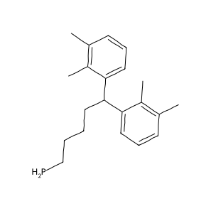 Cc1cccc(C(CCCCP)c2cccc(C)c2C)c1C